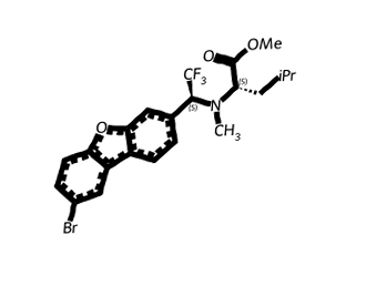 COC(=O)[C@H](CC(C)C)N(C)[C@@H](c1ccc2c(c1)oc1ccc(Br)cc12)C(F)(F)F